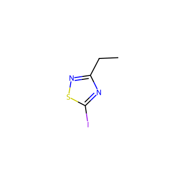 CCc1nsc(I)n1